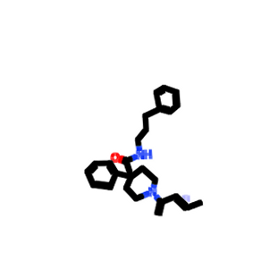 C=C(/C=C/C)N1CCC(C(=O)NCCCc2ccccc2)(c2ccccc2)CC1